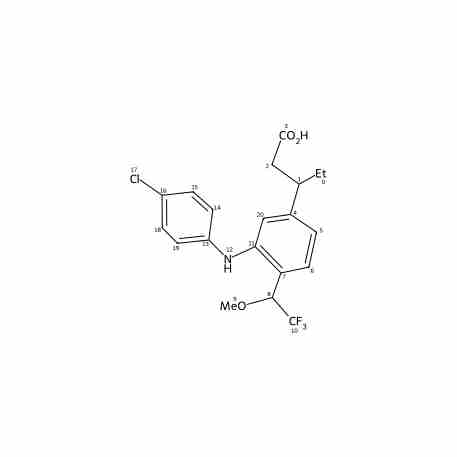 CCC(CC(=O)O)c1ccc(C(OC)C(F)(F)F)c(Nc2ccc(Cl)cc2)c1